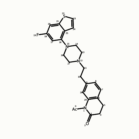 CC(=O)N1C(=O)CCc2ccc(CCN3CCN(c4cc(F)cc5sccc45)CC3)cc21